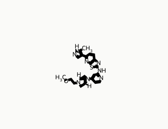 COCCN1C[C@@H]2C[C@H]1CN2c1ccnc(Nc2nc3ccc(-c4cn[nH]c4C)nc3s2)c1